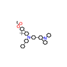 C=CC(=O)Oc1ccc2c(c1)C(C)(C)c1cc(N(c3ccc(-c4ccccc4)cc3)c3ccc(-c4ccc5c(c4)c4ccccc4n5-c4ccccc4)cc3)ccc1-2